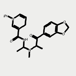 CC(C)N1C=CCC(C(=O)NC(C)N(C)C(C)C(=O)c2ccc3c(c2)OCO3)=C1